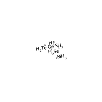 S.[BiH3].[GeH4].[SeH2].[TeH2]